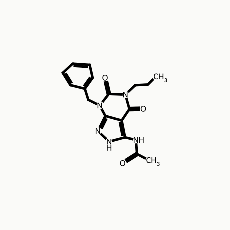 CCCn1c(=O)c2c(NC(C)=O)[nH]nc2n(Cc2ccccc2)c1=O